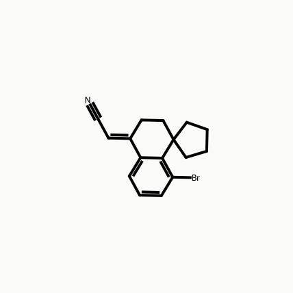 N#CC=C1CCC2(CCCC2)c2c(Br)cccc21